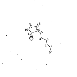 CCCCCCC1=C(C)CCC1=O